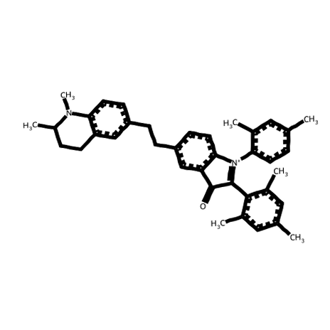 Cc1ccc([N+]2=C(c3c(C)cc(C)cc3C)C(=O)c3cc(CCc4ccc5c(c4)CCC(C)N5C)ccc32)c(C)c1